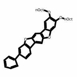 CCCCCCCCOc1cc2oc3cc4c(cc3c2cc1OCCCCCCCC)oc1cc(-c2ccccc2)ccc14